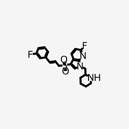 O=S(=O)(CC=Cc1cccc(F)c1)c1cn(CC2CCCCN2)c2nc(F)ccc12